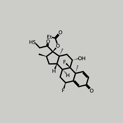 CCC(=O)O[C@]1(C(=O)CS)[C@H](C)C[C@H]2[C@@H]3C[C@H](F)C4=CC(=O)C=C[C@]4(C)[C@@]3(F)[C@@H](O)C[C@@]21C